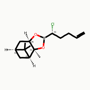 C=CCC[C@@H](Cl)B1O[C@@H]2C[C@@H]3C[C@@H](C3(C)C)[C@]2(C)O1